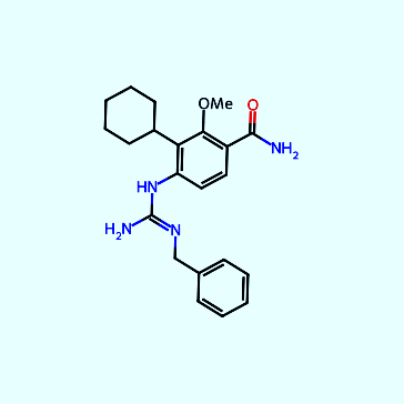 COc1c(C(N)=O)ccc(NC(N)=NCc2ccccc2)c1C1CCCCC1